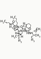 C=CCNC(=O)C(=O)C(CCCC)NC(=O)[C@@H]1[C@@H]2[C@H](CN1C(=O)[C@@H](NC(=O)N[C@H](COC)C(C)C)C1(C)CCCCC1)C2(C)C